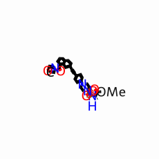 COC(=O)[C@H](C)NS(=O)(=O)N1CCN(c2ccc(C#Cc3ccc4cccc(C(=O)N5CCOCC5)c4c3)cc2)CC1